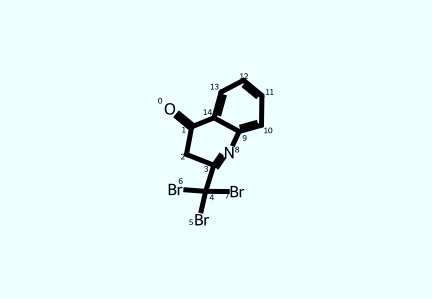 O=C1CC(C(Br)(Br)Br)=Nc2ccccc21